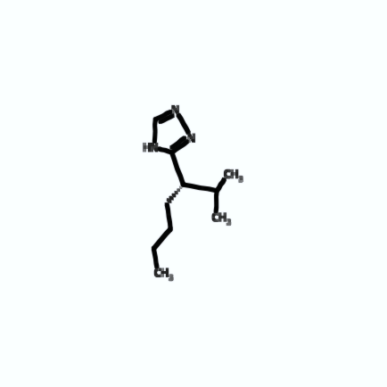 CCCC[C@H](c1nnc[nH]1)C(C)C